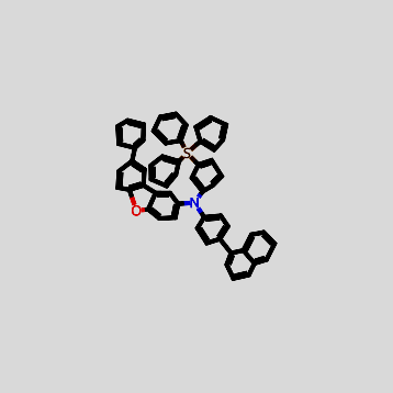 c1ccc(-c2ccc3oc4ccc(N(c5ccc(-c6cccc7ccccc67)cc5)c5cccc(S(c6ccccc6)(c6ccccc6)c6ccccc6)c5)cc4c3c2)cc1